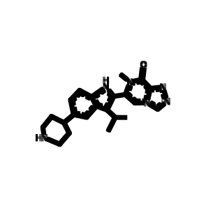 CC(C)c1c(-c2cn3cnnc3c(=O)n2C)[nH]c2ccc(C3CCNCC3)cc12